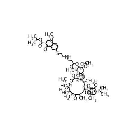 CC[C@@H]1OC(=O)[C@H](C)[C@H](O[C@@H]2C[C@](C)(OC)[C@H](OC(=O)CCNCCSc3ccc4c(c3)c(=O)c(C(=O)OC(C)C)cn4CC)[C@H](C)O2)[C@@H](C)[C@H](O[C@@H]2O[C@H](C)C[C@H](N(C)C)[C@@H]2O)[C@](C)(OC)C[C@H](C)C(=O)[C@H](C)[C@@H](O)[C@]1(C)O